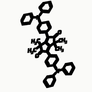 CC1(C)C(=O)C(c2ccc(N(c3ccccc3)c3ccccc3)cc2)=C2C1=C(c1ccc(N(c3ccccc3)c3ccccc3)cc1)C(=O)C2(C)C